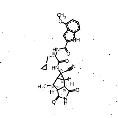 COc1cccc2[nH]c(C(=O)N[C@@H](CC3CC3)C(=O)N[C@@]3(C#N)C4[C@H](C)[C@@H]5C(=O)NC(=O)[C@@H]5[C@H]43)cc12